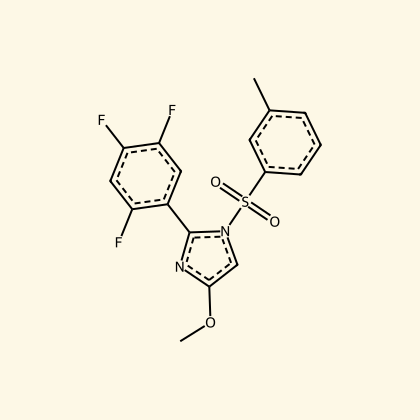 COc1cn(S(=O)(=O)c2cccc(C)c2)c(-c2cc(F)c(F)cc2F)n1